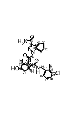 NC(=O)c1nn(CC(=O)N2C(C(=O)NCc3cccc(Cl)c3F)[C@@H]3C[C@@H](O)[C@H]2[C@H]3O)c2ccccc12